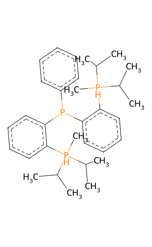 CC(C)[PH](C)(c1ccccc1P(c1ccccc1)c1ccccc1[PH](C)(C(C)C)C(C)C)C(C)C